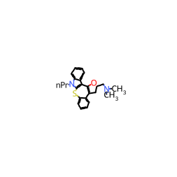 CCCn1c2c(c3ccccc31)C1=C(CC(CN(C)C)O1)c1ccccc1S2